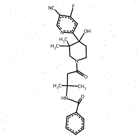 CC(C)(CC(=O)N1CCC(O)(c2cc(F)c(C#N)cn2)C(C)(C)C1)NC(=O)c1ccccc1